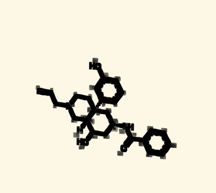 C=CCN1CC[C@@]2(c3cccc(O)c3)C[C@@H](NC(=O)c3ccccc3)CC(O)[C@@H]2C1